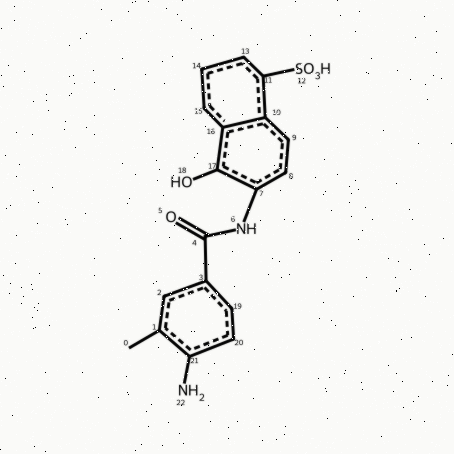 Cc1cc(C(=O)Nc2ccc3c(S(=O)(=O)O)cccc3c2O)ccc1N